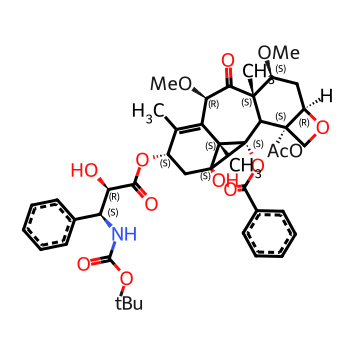 CO[C@H]1C(=O)[C@@]2(C)C([C@@]3(OC(=O)c4ccccc4)[C@]4(O)C[C@H](OC(=O)[C@H](O)[C@@H](NC(=O)OC(C)(C)C)c5ccccc5)C(C)=C1[C@@]43C)[C@]1(OC(C)=O)CO[C@@H]1C[C@@H]2OC